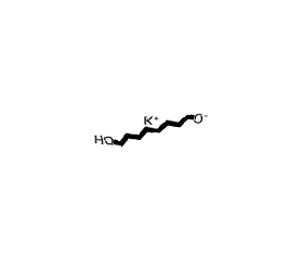 [K+].[O-]CCCCCCCCO